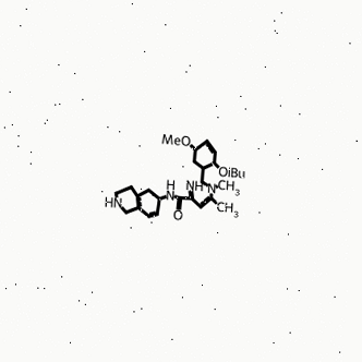 COC1C=CC(OCC(C)C)C(CN(C)/C(C)=C\C(=N)C(=O)NC2C=CC3=C(CCNC3)C2)C1